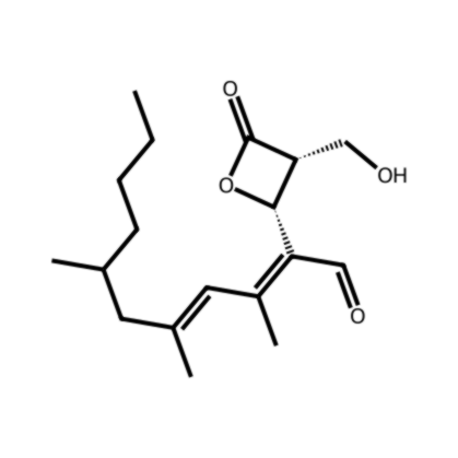 CCCCC(C)C/C(C)=C/C(C)=C(/C=O)[C@@H]1OC(=O)[C@@H]1CO